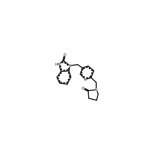 O=C1CCCN1Cc1ccc(Cn2c(=O)[nH]c3ccccc32)cn1